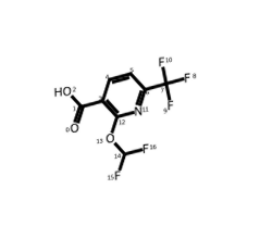 O=C(O)c1ccc(C(F)(F)F)nc1OC(F)F